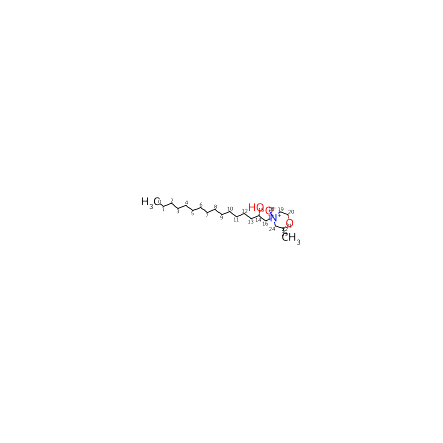 CCCCCCCCCCCCCCC(O)C[N+]1([O-])CCOC(C)C1